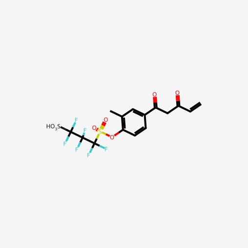 C=CC(=O)CC(=O)c1ccc(OS(=O)(=O)C(F)(F)C(F)(F)C(F)(F)S(=O)(=O)O)c(C)c1